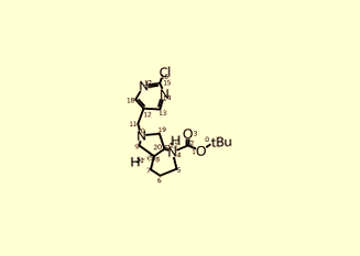 CC(C)(C)OC(=O)N1CCC[C@H]2CN(Cc3cnc(Cl)nc3)C[C@H]21